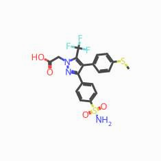 CSc1ccc(-c2c(-c3ccc(S(N)(=O)=O)cc3)nn(CC(=O)O)c2C(F)(F)F)cc1